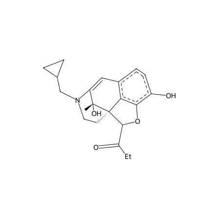 CCC(=O)C1Oc2c(O)ccc3c2[C@@]12CCN(CC1CC1)C(=C3)[C@@]2(C)O